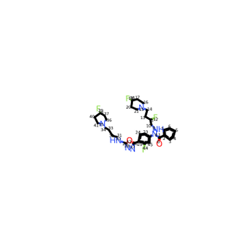 O=C(c1ccccc1)N(NCC(F)CCN1CCC(F)CC1)c1ccc(-c2nnc(NCCCCN3CCC(F)CC3)o2)c(F)c1